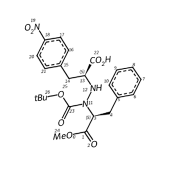 COC(=O)[C@H](Cc1ccccc1)N(N[C@@H](Cc1ccc([N+](=O)[O-])cc1)C(=O)O)C(=O)OC(C)(C)C